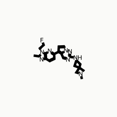 Cc1nc2ccc(-c3ccn4nc(NC5CC6(C5)CN(C)C6)ncc34)nc2n1CCF